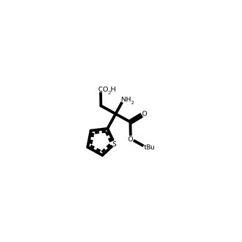 CC(C)(C)OC(=O)C(N)(CC(=O)O)c1cccs1